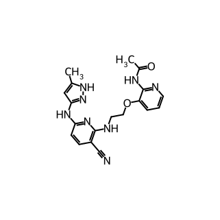 CC(=O)Nc1ncccc1OCCNc1nc(Nc2cc(C)[nH]n2)ccc1C#N